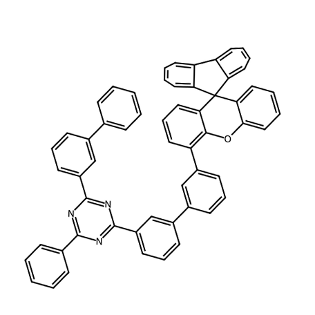 c1ccc(-c2cccc(-c3nc(-c4ccccc4)nc(-c4cccc(-c5cccc(-c6cccc7c6Oc6ccccc6C76c7ccccc7-c7ccccc76)c5)c4)n3)c2)cc1